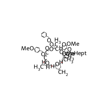 C=C1C[C@H]2C[C@H]3C[C@@H](C)C[C@@H](C[C@@H](OCc4ccc(OC)cc4)CC(=O)O[C@@H]([C@@H](C)OCOCc4ccccc4)C[C@@H]4C/C(=C\C(=O)OC)[C@H](OC(=O)CCCCCCC)[C@@](OC)(O4)C(C)(C)/C=C/[C@@H](C1)O2)O3